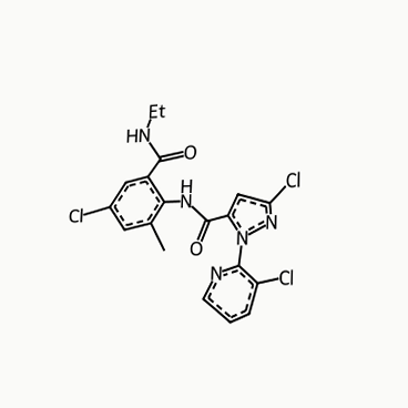 CCNC(=O)c1cc(Cl)cc(C)c1NC(=O)c1cc(Cl)nn1-c1ncccc1Cl